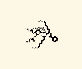 CCCCCCCCCCCCC/C=C/[C@@H](OC(=O)c1ccccc1)[C@H](CO[C@@]1(C)O[C@H](COC(=O)OC(C)(C)C)[C@H](OC(=O)OC(C)(C)C)[C@H](OC(C)=O)[C@H]1OC(C)=O)NC(=O)CCCCCCCCCCCCCCC